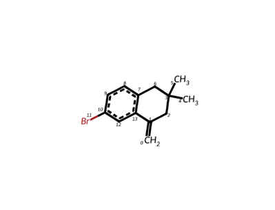 C=C1CC(C)(C)Cc2ccc(Br)cc21